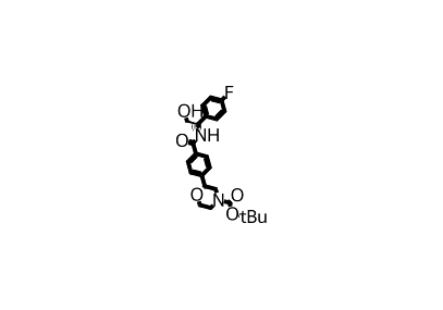 CC(C)(C)OC(=O)N1CCOC(c2ccc(C(=O)N[C@@H](CO)c3ccc(F)cc3)cc2)C1